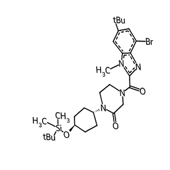 Cn1c(C(=O)N2CCN([C@H]3CC[C@H](O[Si](C)(C)C(C)(C)C)CC3)C(=O)C2)nc2c(Br)cc(C(C)(C)C)cc21